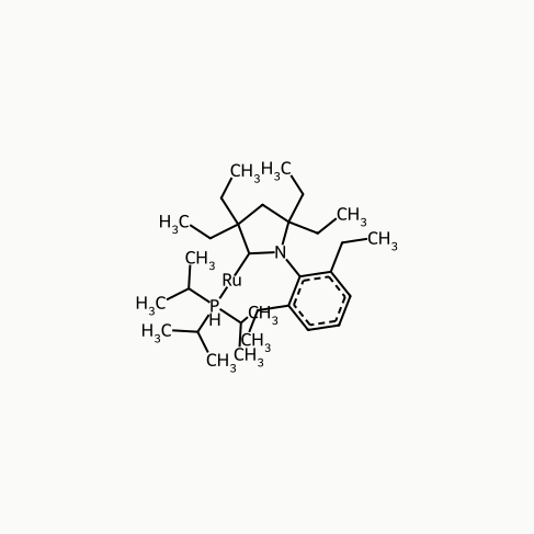 CCc1cccc(CC)c1N1[CH]([Ru][PH](C(C)C)(C(C)C)C(C)C)C(CC)(CC)CC1(CC)CC